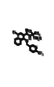 CC[C@](C)(NC(=O)c1cc(Cl)c2ccccc2c1OCc1ccc(C(F)(F)F)nc1)C(=O)O